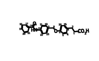 O=C(O)CCc1ccc(OCc2ccc(NC(=O)c3ccccc3)cc2)cc1